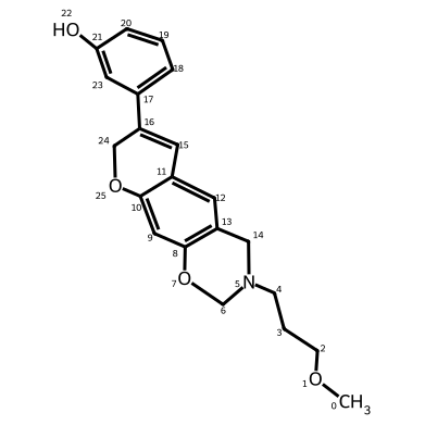 COCCCN1COc2cc3c(cc2C1)C=C(c1cccc(O)c1)CO3